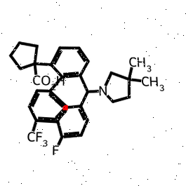 CC1(C)CCN(C(c2ccc(F)cc2)c2cccc(C3(C(=O)O)CCCC3)c2-c2ccc(C(F)(F)F)cc2)C1